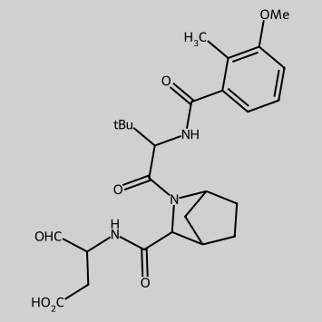 COc1cccc(C(=O)NC(C(=O)N2C3CCC(C3)C2C(=O)NC(C=O)CC(=O)O)C(C)(C)C)c1C